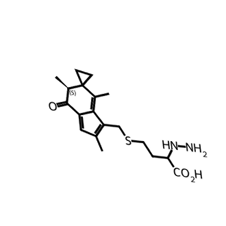 CC1=C(CSCCC(NN)C(=O)O)C2=C(C)C3(CC3)[C@H](C)C(=O)C2=C1